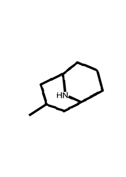 CC1CC2CCCC(C1)N2